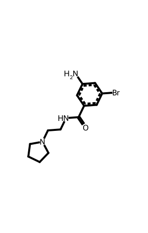 Nc1cc(Br)cc(C(=O)NCCN2CCCC2)c1